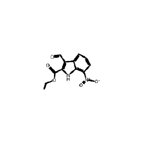 CCOC(=O)c1[nH]c2c([N+](=O)[O-])cccc2c1C=O